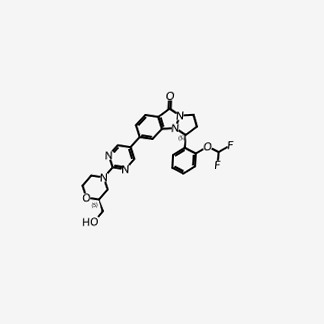 O=c1c2ccc(-c3cnc(N4CCO[C@H](CO)C4)nc3)cc2n2n1CC[C@H]2c1ccccc1OC(F)F